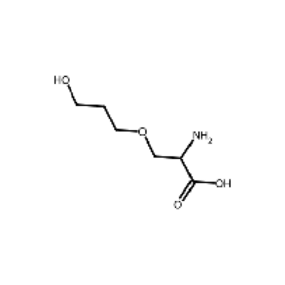 NC(COCCCO)C(=O)O